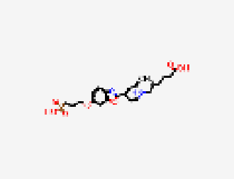 C=C/C=C(\C=C/NCCCCCC(=O)O)c1nc2ccc(OCCCS(=O)(=O)O)cc2o1